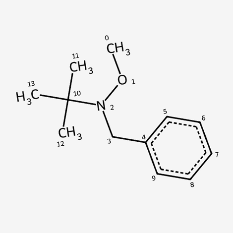 CON(Cc1ccccc1)C(C)(C)C